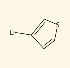 [Li][c]1ccsc1